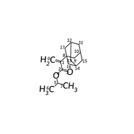 C=C(C(=O)OC(C)C)C12CC3CC(CC(C3)C1)C2